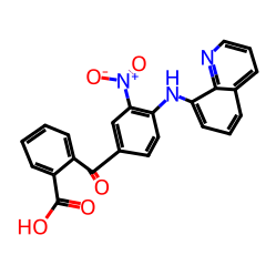 O=C(O)c1ccccc1C(=O)c1ccc(Nc2cccc3cccnc23)c([N+](=O)[O-])c1